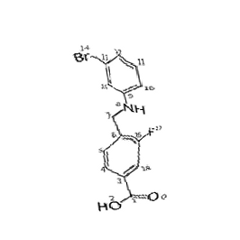 O=C(O)c1ccc(CNc2cccc(Br)c2)c(F)c1